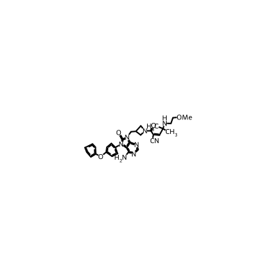 COCCNC(C)(C)/C=C(/C#N)C(=O)N1CC(Cn2c(=O)n(-c3ccc(Oc4ccccc4)cc3)c3c(N)ncnc32)C1